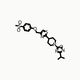 CC(C)c1noc(N2CCC(c3nc(COc4ccc(S(C)(=O)=O)cc4)cs3)CC2)n1